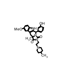 COc1ccc2[nH]c3c(c2c1)CC1(C)C(=O)N(CCN2CCC(C)CC2)C(=O)N1C3c1cccc(O)c1